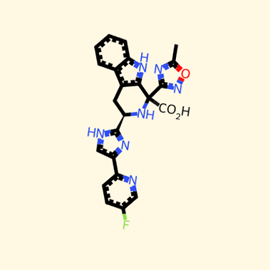 Cc1nc(C2(C(=O)O)N[C@@H](c3nc(-c4ccc(F)cn4)c[nH]3)Cc3c2[nH]c2ccccc32)no1